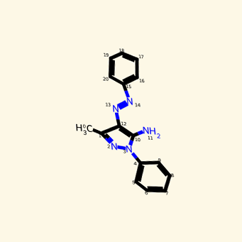 Cc1nn(-c2ccccc2)c(N)c1N=Nc1ccccc1